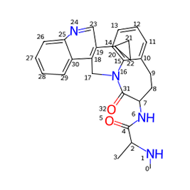 CNC(C)C(=O)NC1CCc2ccccc2N(Cc2c(C3CC3)cnc3ccccc23)C1=O